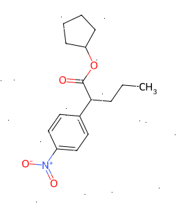 CCCC(C(=O)OC1CCCC1)c1ccc([N+](=O)[O-])cc1